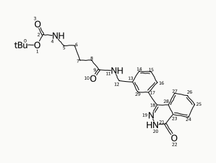 CC(C)(C)OC(=O)NCCCCC(=O)NCc1cccc(-c2n[nH]c(=O)c3ccccc23)c1